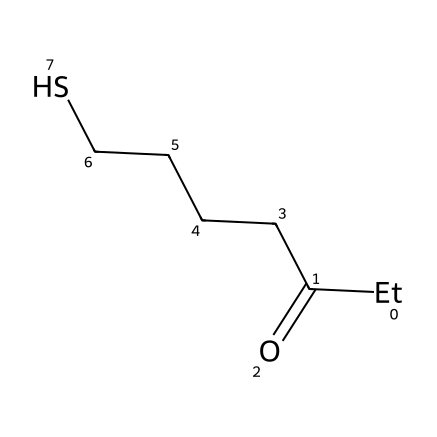 CCC(=O)CCCCS